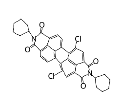 O=C1c2ccc3c4c(Cl)cc5c6c(cc(Cl)c(c7ccc(c2c37)C(=O)N1C1CCCCC1)c64)C(=O)N(C1CCCCC1)C5=O